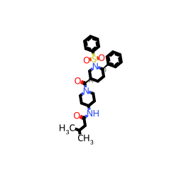 CC(C)CC(=O)NC1CCN(C(=O)[C@@H]2CC[C@H](c3ccccc3)N(S(=O)(=O)c3ccccc3)C2)CC1